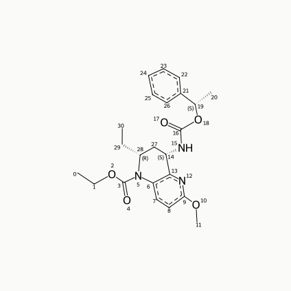 CCOC(=O)N1c2ccc(OC)nc2[C@@H](NC(=O)O[C@@H](C)c2ccccc2)C[C@H]1CC